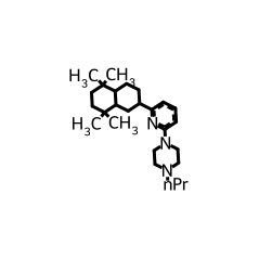 C[CH]CN1CCN(c2cccc(C3CCC4C(C3)C(C)(C)CCC4(C)C)n2)CC1